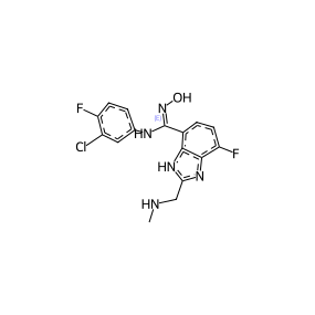 CNCc1nc2c(F)ccc(/C(=N\O)Nc3ccc(F)c(Cl)c3)c2[nH]1